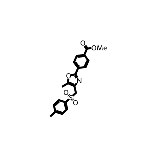 COC(=O)c1ccc(-c2nc(CS(=O)(=O)c3ccc(C)cc3)c(C)o2)cc1